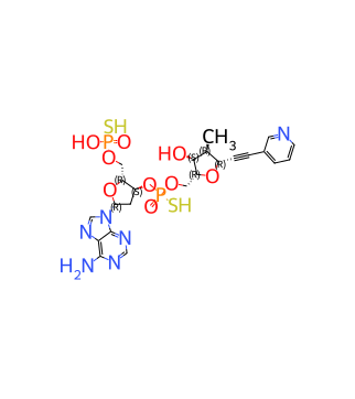 C[C@@H]1[C@H](O)[C@@H](COP(=O)(S)O[C@H]2C[C@H](n3cnc4c(N)ncnc43)O[C@@H]2COP(=O)(O)S)O[C@H]1C#Cc1cccnc1